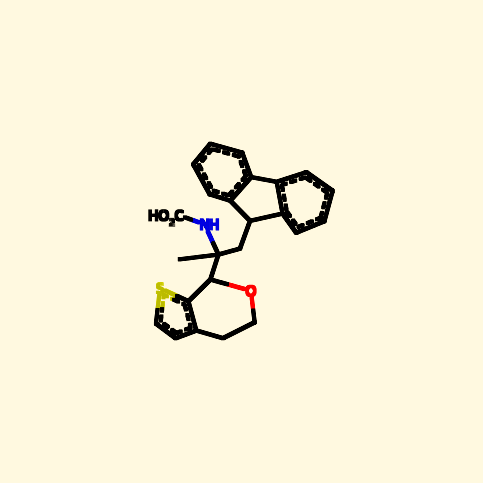 CC(CC1c2ccccc2-c2ccccc21)(NC(=O)O)C1OCCc2ccsc21